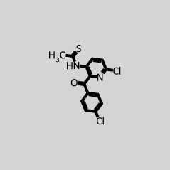 CC(=S)Nc1ccc(Cl)nc1C(=O)c1ccc(Cl)cc1